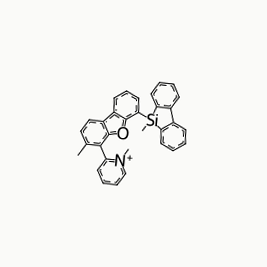 Cc1ccc2c(oc3c([Si]4(C)c5ccccc5-c5ccccc54)cccc32)c1-c1cccc[n+]1C